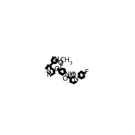 COc1cc(-c2ccn3nccc(Oc4ccc(NC(=O)c5cccn(-c6ccc(F)cc6)c5=O)cc4F)c23)ccn1